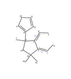 C/C=C1\C(=C/C)C(C)(C2=CCC=C2)CC1(C)C